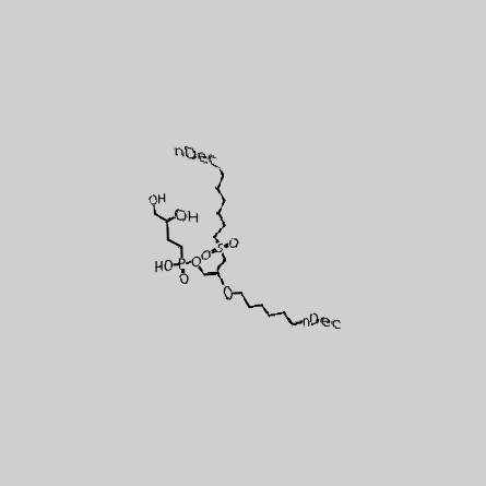 CCCCCCCCCCCCCCCCOC(COP(=O)(O)CCC(O)CO)CS(=O)(=O)CCCCCCCCCCCCCCCC